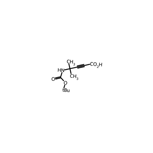 CC(C)(C#CC(=O)O)NC(=O)OC(C)(C)C